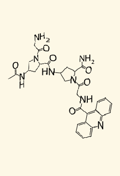 CC(=O)NC1CC(C(=O)NC2CC(C(N)=O)N(C(=O)CNC(=O)c3c4ccccc4nc4ccccc34)C2)N(C(=O)CN)C1